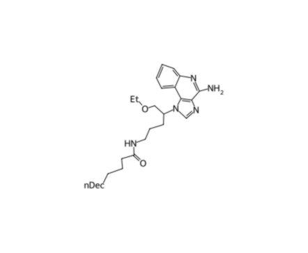 CCCCCCCCCCCCCC(=O)NCCCC(COCC)n1cnc2c(N)nc3ccccc3c21